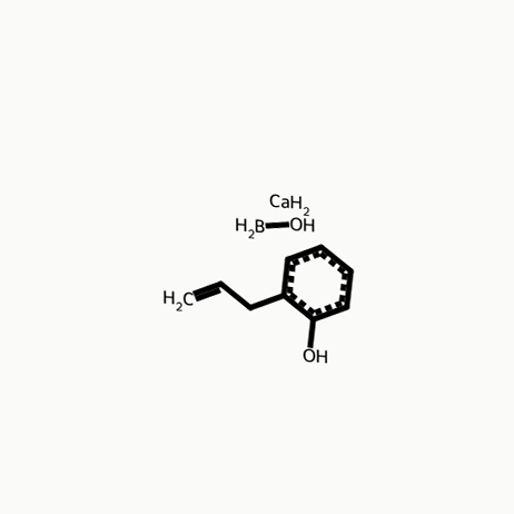 BO.C=CCc1ccccc1O.[CaH2]